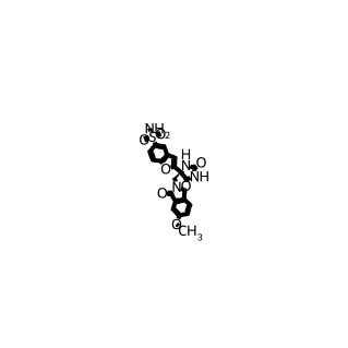 COc1ccc2c(c1)C(=O)N(C[C@@]1(c3cc4cc(S(N)(=O)=O)ccc4o3)NC(=O)NC1=O)C2